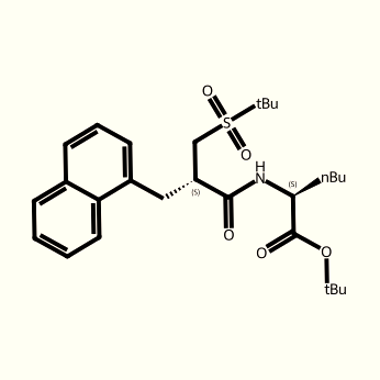 CCCC[C@H](NC(=O)[C@H](Cc1cccc2ccccc12)CS(=O)(=O)C(C)(C)C)C(=O)OC(C)(C)C